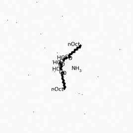 CCCCCCCC/C=C\CCCCCCCC(=O)OC[C@@H](O)COP(=O)(O)OC[C@H](O)COC(=O)CCCCCCC/C=C\CCCCCCCC.N